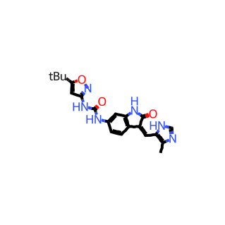 Cc1nc[nH]c1C=C1C(=O)Nc2cc(NC(=O)Nc3cc(C(C)(C)C)on3)ccc21